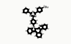 CCCCc1ccc(-c2nc(-c3ccccc3)nc(-c3ccc(-n4c5ccccc5c5c6ccccc6c6c7ccccc7sc6c54)cc3)n2)cc1